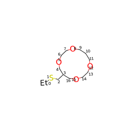 CCSCC1COCCOCCCOCCOC1